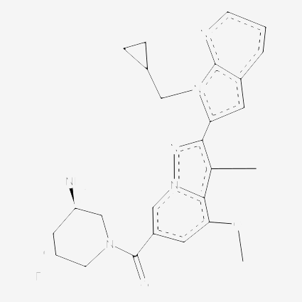 COc1cc(C(=O)N2C[C@H](N)C[C@@H](F)C2)cn2nc(-c3cc4cccnc4n3CC3CC3)c(C)c12